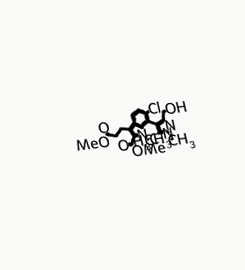 COC(=O)CCc1c(C(=O)OC)n(C)c2c(-c3c(CO)nn(C)c3C)c(Cl)ccc12